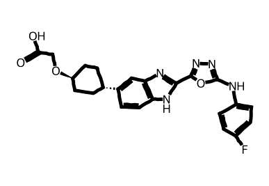 O=C(O)CO[C@H]1CC[C@H](c2ccc3[nH]c(-c4nnc(Nc5ccc(F)cc5)o4)nc3c2)CC1